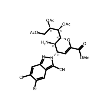 COC(=O)C1=C[C@H](n2nc3cc(Cl)c(Br)cc3c2C#N)[C@@H](N)[C@H]([C@H](OC(C)=O)[C@@H](COC(C)=O)OC(C)=O)O1